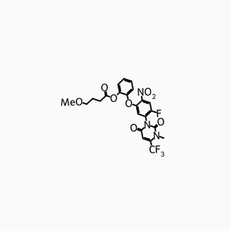 COCCCC(=O)Oc1ccccc1Oc1cc(-n2c(=O)cc(C(F)(F)F)n(C)c2=O)c(F)cc1[N+](=O)[O-]